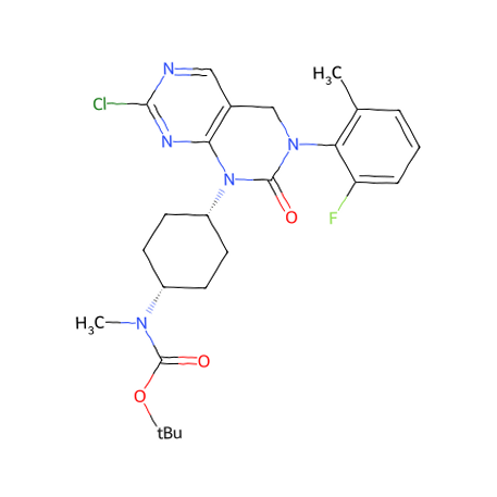 Cc1cccc(F)c1N1Cc2cnc(Cl)nc2N([C@H]2CC[C@@H](N(C)C(=O)OC(C)(C)C)CC2)C1=O